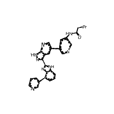 CC(C)CC(=O)Nc1cncc(-c2cnc3[nH]nc(-c4nc5c(-c6cccnc6)cccc5[nH]4)c3c2)c1